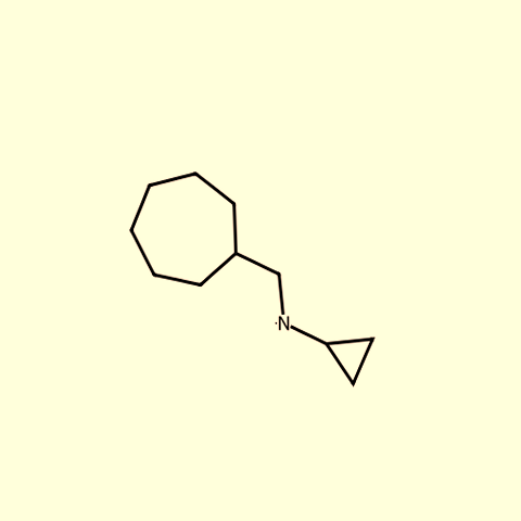 C1CCCC(C[N]C2CC2)CC1